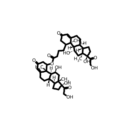 C[C@]12C[C@H](O)[C@H]3[C@@H](CCC4=CC(=O)CC(CCCC(=O)OC5CC(=O)C=C6CC[C@@H]7[C@H]([C@@H](O)C[C@@]8(C)[C@H]7CC[C@]8(O)C(=O)CO)[C@]65C)[C@@]43C)[C@@H]1CC[C@]2(O)C(=O)CO